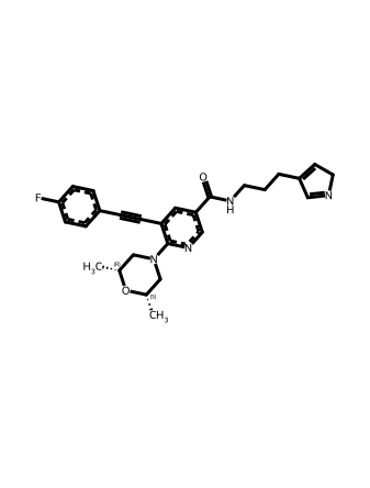 C[C@@H]1CN(c2ncc(C(=O)NCCCC3=CCN=C3)cc2C#Cc2ccc(F)cc2)C[C@H](C)O1